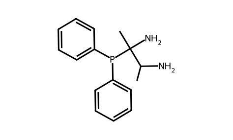 CC(N)C(C)(N)P(c1ccccc1)c1ccccc1